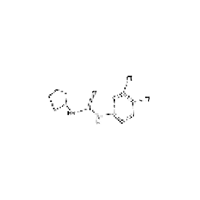 O=C(Nc1ccc(Cl)c(Cl)c1)NC1CCCC1